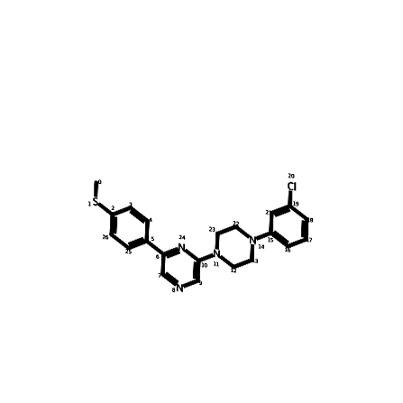 CSc1ccc(-c2cncc(N3CCN(c4cccc(Cl)c4)CC3)n2)cc1